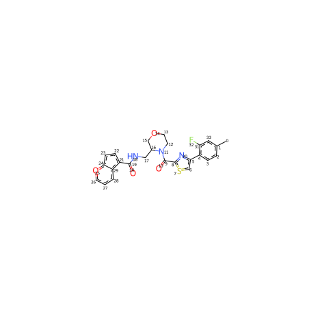 Cc1ccc(-c2csc(C(=O)N3CCOCC3CNC(=O)c3ccc4occcc3-4)n2)c(F)c1